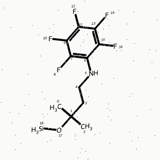 CC(C)(CCNc1c(F)c(F)c(F)c(F)c1F)O[SiH3]